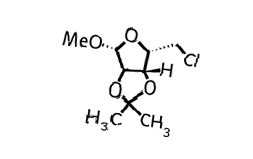 CO[C@@H]1O[C@H](CCl)[C@@H]2OC(C)(C)OC12